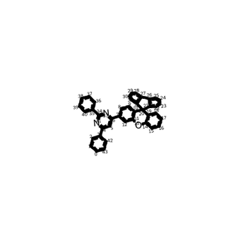 c1ccc(-c2cc(-c3ccc4c(c3)Oc3ccccc3C43c4ccccc4-c4ccccc43)nc(-c3ccccc3)n2)cc1